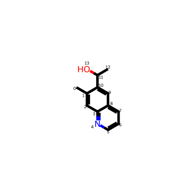 Cc1cc2ncccc2cc1C(C)O